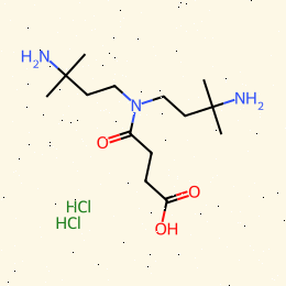 CC(C)(N)CCN(CCC(C)(C)N)C(=O)CCC(=O)O.Cl.Cl